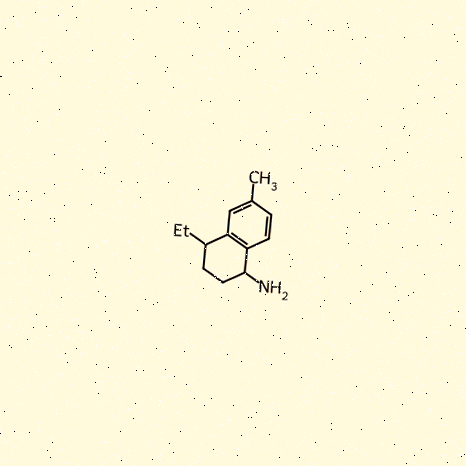 CCC1CCC(N)c2ccc(C)cc21